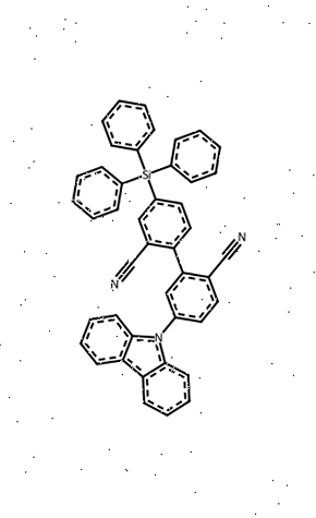 N#Cc1cc([Si](c2ccccc2)(c2ccccc2)c2ccccc2)ccc1-c1cc(-n2c3ccccc3c3ccccc32)ccc1C#N